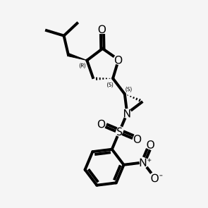 CC(C)C[C@@H]1C[C@@H]([C@@H]2CN2S(=O)(=O)c2ccccc2[N+](=O)[O-])OC1=O